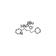 CC(C)(C)[S@+]([O-])N[C@@H](CCCc1ccccc1)c1ccccn1